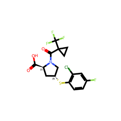 O=C(O)[C@@H]1C[C@@H](Sc2ccc(F)cc2Cl)CN1C(=O)C1(C(F)(F)F)CC1